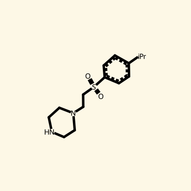 CC(C)c1ccc(S(=O)(=O)CCN2CCNCC2)cc1